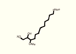 CCCCCCCCCCCCCCCCCCC(OC)C(O)CO